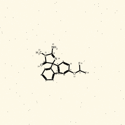 CCC(C)c1ccccc1C1(c2ccc(OC(F)F)cc2)N=C(N)N(C)C1=O